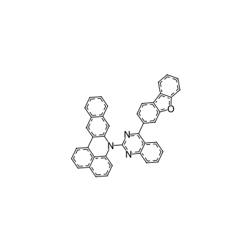 c1ccc2cc3c(cc2c1)-c1cccc2cccc(c12)N3c1nc(-c2ccc3c(c2)oc2ccccc23)c2ccccc2n1